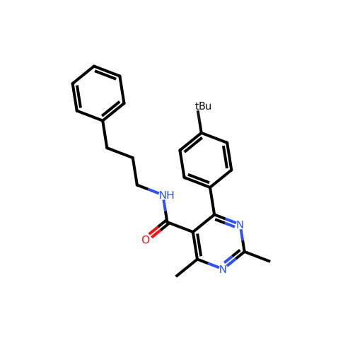 Cc1nc(C)c(C(=O)NCCCc2ccccc2)c(-c2ccc(C(C)(C)C)cc2)n1